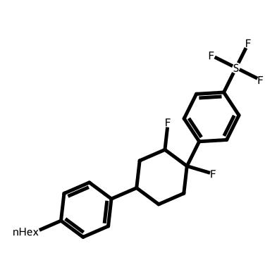 CCCCCCc1ccc(C2CCC(F)(c3ccc(S(F)(F)F)cc3)C(F)C2)cc1